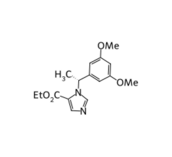 CCOC(=O)c1cncn1[C@H](C)c1cc(OC)cc(OC)c1